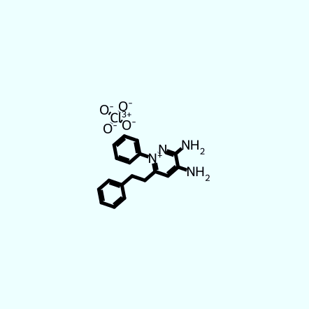 Nc1cc(CCc2ccccc2)[n+](-c2ccccc2)nc1N.[O-][Cl+3]([O-])([O-])[O-]